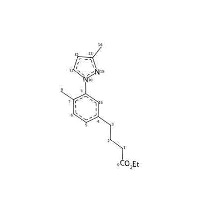 CCOC(=O)CCCc1ccc(C)c(-n2ccc(C)n2)c1